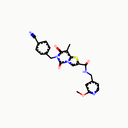 COc1cc(CNC(=O)c2cn3c(=O)n(Cc4ccc(C#N)cc4)c(=O)c(C)c3s2)ccn1